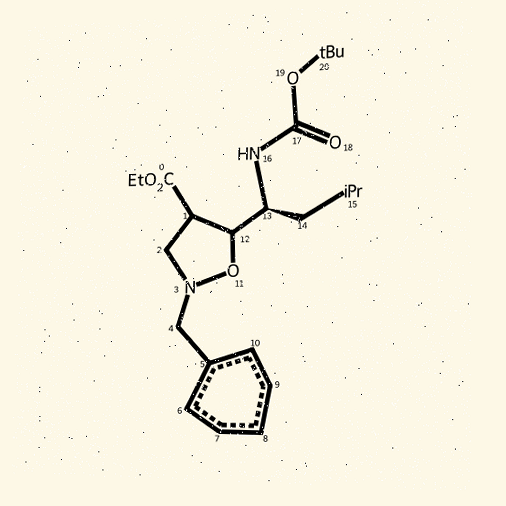 CCOC(=O)C1CN(Cc2ccccc2)OC1[C@H](CC(C)C)NC(=O)OC(C)(C)C